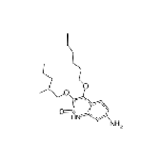 CCCCCCOc1c(OCC(C)CCC)c(=O)[nH]c2cc(N)ccc12